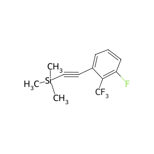 C[Si](C)(C)C#Cc1cccc(F)c1C(F)(F)F